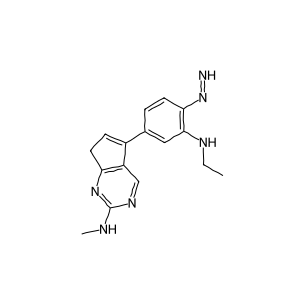 CCNc1cc(C2=CCc3nc(NC)ncc32)ccc1N=N